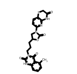 Cc1cccc2[nH]c(=O)n(CCCC3CN(c4ccc5c(n4)NC(=O)CS5)C(=O)O3)c(=O)c12